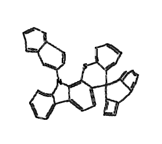 c1ccc2c(c1)Sc1c(ccc3c4ccccc4n(-c4ccc5ccccc5c4)c13)C21c2ccccc2-c2ccccc21